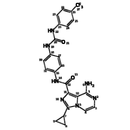 Nc1nccn2c(C3CC3)nc(C(=O)Nc3ccc(NC(=O)Nc4ccc(C(F)(F)F)cc4)cc3)c12